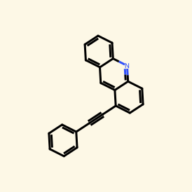 C(#Cc1cccc2nc3ccccc3cc12)c1ccccc1